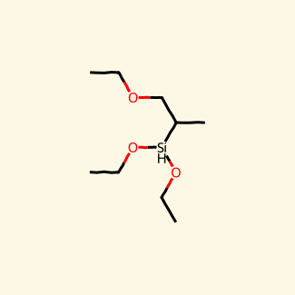 CCOCC(C)[SiH](OCC)OCC